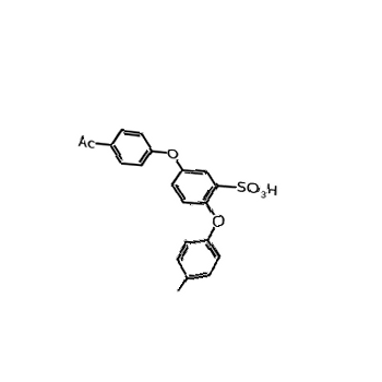 CC(=O)c1ccc(Oc2ccc(Oc3ccc(C)cc3)c(S(=O)(=O)O)c2)cc1